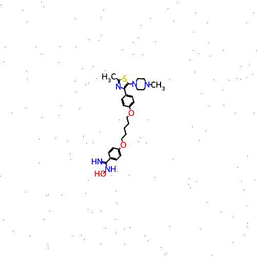 Cc1nc(-c2ccc(OCCCCCOc3ccc(C(=N)NO)cc3)cc2)c(N2CCN(C)CC2)s1